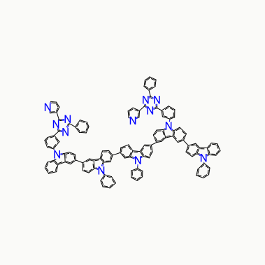 c1ccc(-c2nc(-c3cccnc3)nc(-c3cccc(-n4c5ccccc5c5cc(-c6ccc7c(c6)c6ccc(-c8ccc9c%10cc(-c%11ccc%12c(c%11)c%11cc(-c%13ccc%14c(c%13)c%13ccccc%13n%14-c%13ccccc%13)ccc%11n%12-c%11cccc(-c%12nc(-c%13ccccc%13)nc(-c%13cccnc%13)n%12)c%11)ccc%10n(-c%10ccccc%10)c9c8)cc6n7-c6ccccc6)ccc54)c3)n2)cc1